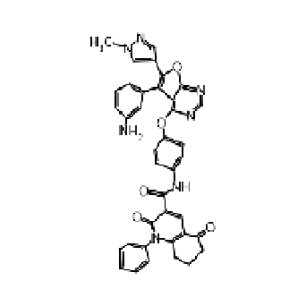 Cn1cc(-c2oc3ncnc(Oc4ccc(NC(=O)c5cc6c(n(-c7ccccc7)c5=O)CCCC6=O)cc4)c3c2-c2cccc(N)c2)cn1